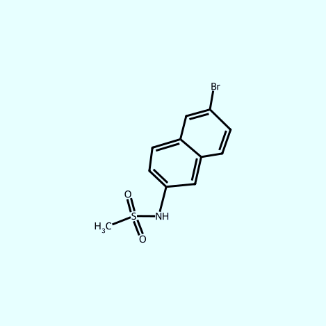 CS(=O)(=O)Nc1ccc2cc(Br)ccc2c1